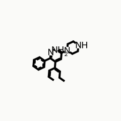 C=C(/C=C(C(=N/N)\c1ccccc1)/C(/C=C\C)=C/CC)N1CCNCC1